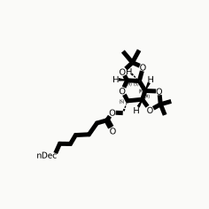 CCCCCCCCCCCCCCCC(=O)OC[C@@H]1O[C@@H]2OC(C)(C)O[C@H]2[C@@H]2OC(C)(C)O[C@@H]21